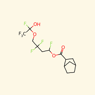 O=C(OC(F)CC(F)(F)COC(O)(F)C(F)(F)F)C1CC2CCC1C2